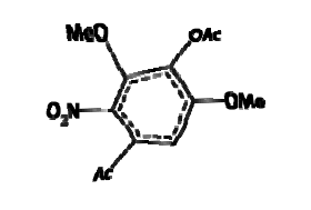 COc1cc(C(C)=O)c([N+](=O)[O-])c(OC)c1OC(C)=O